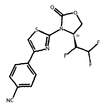 N#Cc1ccc(-c2csc(N3C(=O)OC[C@H]3C(F)C(F)F)n2)cc1